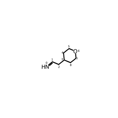 N=CCC1CCOCC1